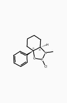 CN1[C@@H]2CCCC[C@@]2(c2ccccc2)OP1Cl